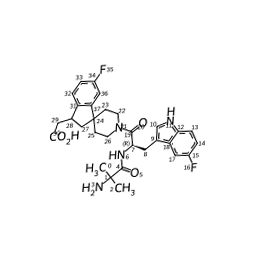 CC(C)(N)C(=O)N[C@H](Cc1c[nH]c2ccc(F)cc12)C(=O)N1CCC2(CC1)CC(CC(=O)O)c1ccc(F)cc12